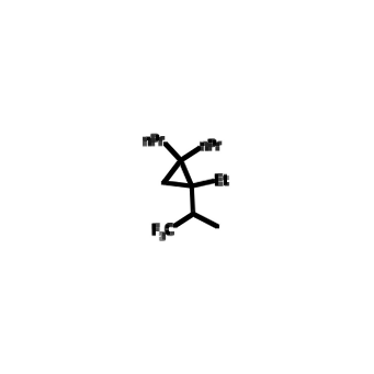 CCCC1(CCC)CC1(CC)C(C)C(F)(F)F